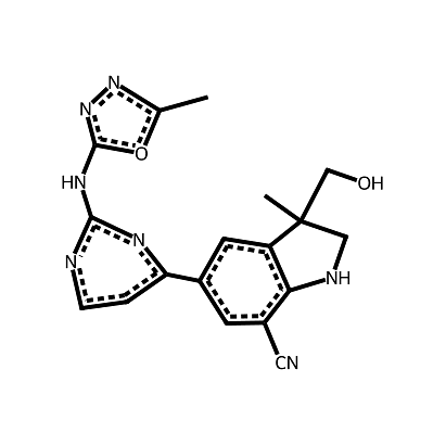 Cc1nnc(Nc2nccc(-c3cc(C#N)c4c(c3)C(C)(CO)CN4)n2)o1